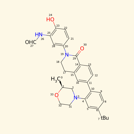 C[C@H]1CN(c2cc(C(C)(C)C)ccc2-c2ccc3c(c2)CCN(c2ccc(O)c(NC=O)c2)C3=O)CCO1